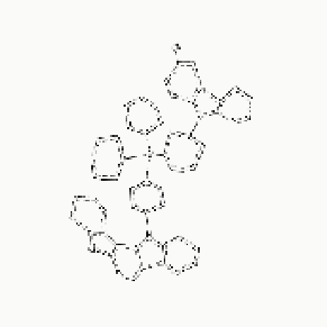 N#Cc1ccc2c(c1)c1ccccc1n2-c1cccc([Si](c2ccccc2)(c2ccccc2)c2ccc(-n3c4ccccc4c4ccc5oc6ccccc6c5c43)cc2)c1